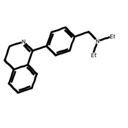 CCN(CC)Cc1ccc(C2=NCCc3ccccc32)cc1